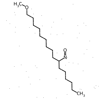 CCCCCCC(CCCCCCCCCOC)N=O